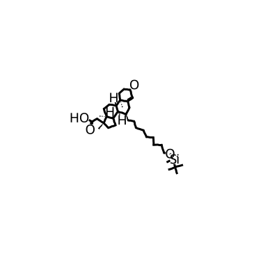 CC(C)(C)[Si](C)(C)OCCCCCCCCC[C@@H]1CC2=CC(=O)CC[C@]2(C)[C@H]2CC[C@@]3(C)[C@@H](CC[C@]3(C)CC(=O)O)[C@H]12